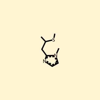 CSC(C)Cc1nccn1C